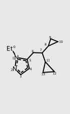 CCn1nccc1CC(C1CC1)C1CC1